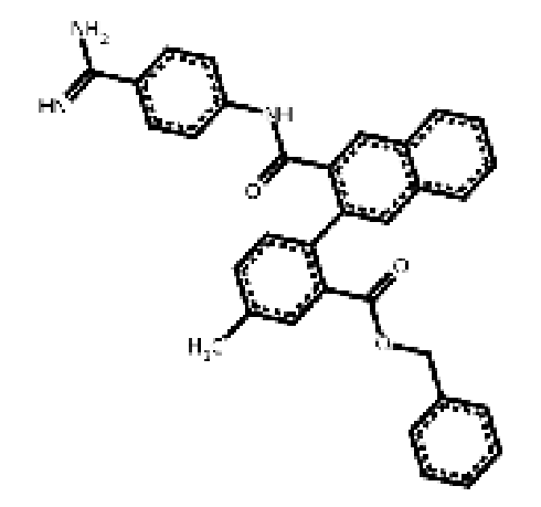 Cc1ccc(-c2cc3ccccc3cc2C(=O)Nc2ccc(C(=N)N)cc2)c(C(=O)OCc2ccccc2)c1